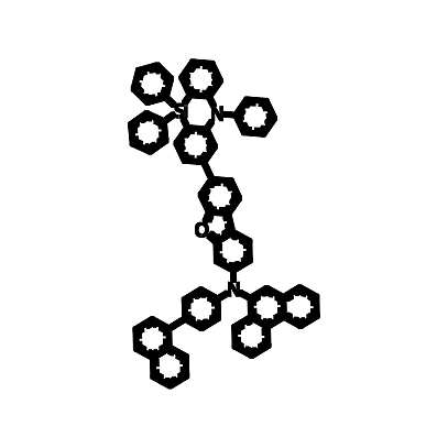 c1ccc(N2c3ccccc3[Si](c3ccccc3)(c3ccccc3)c3ccc(-c4ccc5c(c4)oc4cc(N(c6ccc(-c7cccc8ccccc78)cc6)c6cc7ccccc7c7ccccc67)ccc45)cc32)cc1